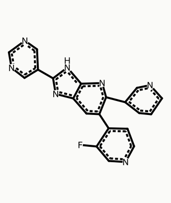 Fc1cnccc1-c1cc2nc(-c3cncnc3)[nH]c2nc1-c1cccnc1